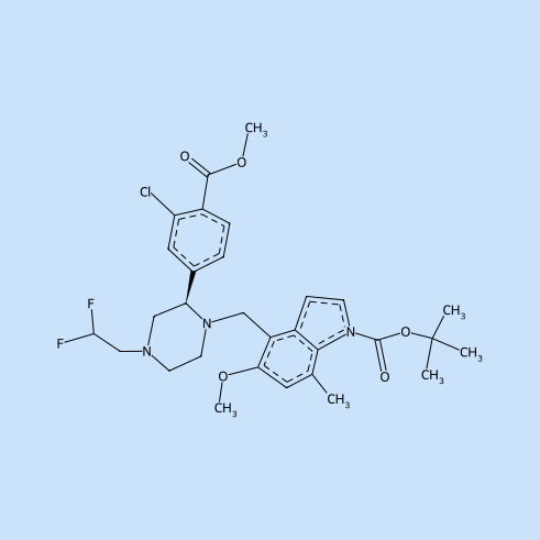 COC(=O)c1ccc([C@@H]2CN(CC(F)F)CCN2Cc2c(OC)cc(C)c3c2ccn3C(=O)OC(C)(C)C)cc1Cl